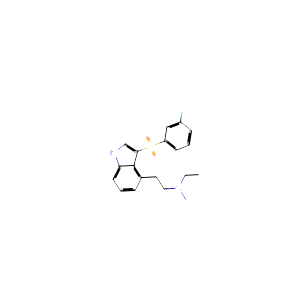 CCN(C)CCc1cccc2[nH]cc(S(=O)(=O)c3cccc(F)c3)c12